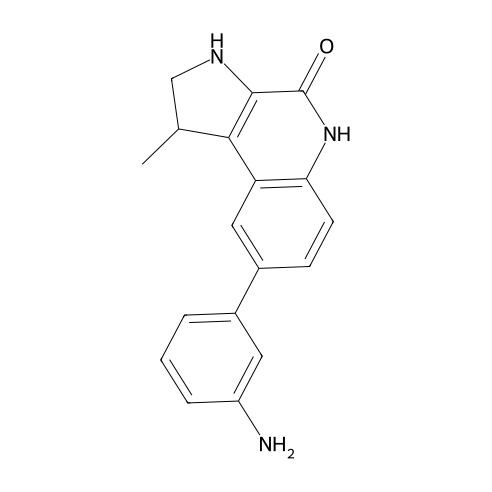 CC1CNc2c1c1cc(-c3cccc(N)c3)ccc1[nH]c2=O